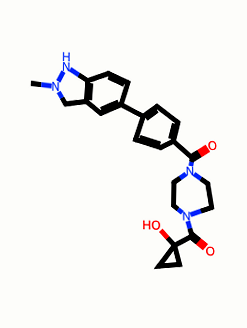 CN1Cc2cc(-c3ccc(C(=O)N4CCN(C(=O)C5(O)CC5)CC4)cc3)ccc2N1